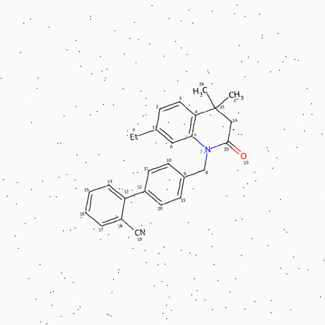 CCc1ccc2c(c1)N(Cc1ccc(-c3ccccc3C#N)cc1)C(=O)CC2(C)C